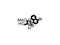 COC(=O)C(CO)NS(=O)(=O)c1ccc(Br)c2ccccc12